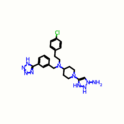 NN1C=C(N2CCC(N(CCc3ccc(Cl)cc3)Cc3cccc(-c4nnn[nH]4)c3)CC2)NN1